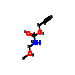 C#CCOC(=O)NCOC